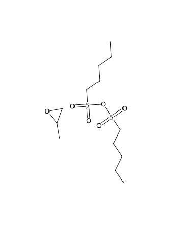 CC1CO1.CCCCCS(=O)(=O)OS(=O)(=O)CCCCC